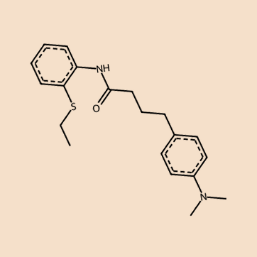 CCSc1ccccc1NC(=O)CCCc1ccc(N(C)C)cc1